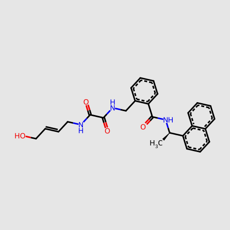 C[C@@H](NC(=O)c1ccccc1CNC(=O)C(=O)NC/C=C/CO)c1cccc2ccccc12